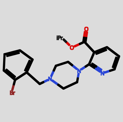 CC(C)OC(=O)c1cccnc1N1CCN(Cc2ccccc2Br)CC1